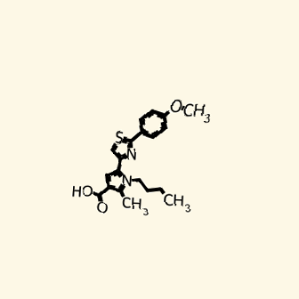 CCCCn1c(-c2csc(-c3ccc(OC)cc3)n2)cc(C(=O)O)c1C